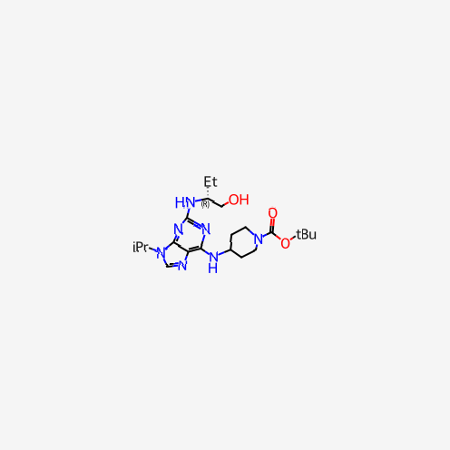 CC[C@H](CO)Nc1nc(NC2CCN(C(=O)OC(C)(C)C)CC2)c2ncn(C(C)C)c2n1